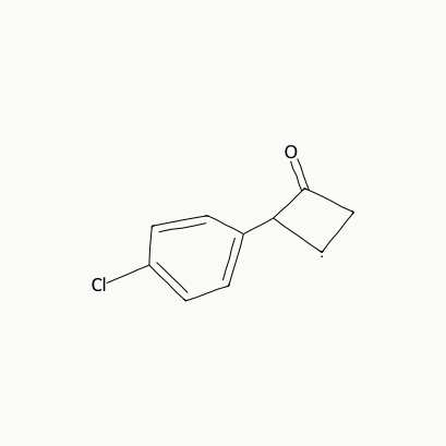 O=C1C[CH]C1c1ccc(Cl)cc1